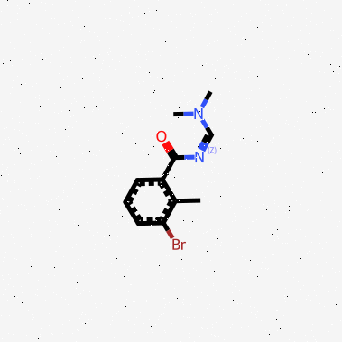 Cc1c(Br)cccc1C(=O)/N=C\N(C)C